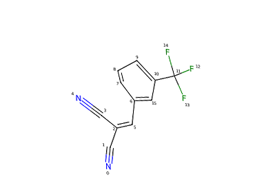 N#CC(C#N)=Cc1cccc(C(F)(F)F)c1